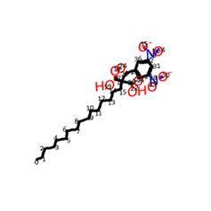 CCCCCCCCCCCCCCCCC(C(=O)O)(C(=O)O)C(=O)c1cc([N+](=O)[O-])cc([N+](=O)[O-])c1